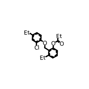 CCC(=O)Oc1cccc(CC)c1COc1ccc(CC)cc1Cl